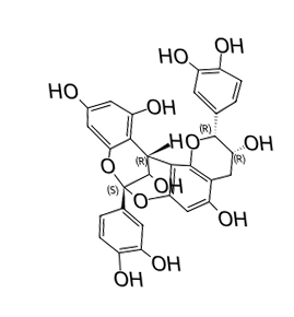 Oc1cc(O)c2c(c1)O[C@@]1(c3ccc(O)c(O)c3)Oc3cc(O)c4c(c3[C@@H]2C1O)O[C@H](c1ccc(O)c(O)c1)[C@H](O)C4